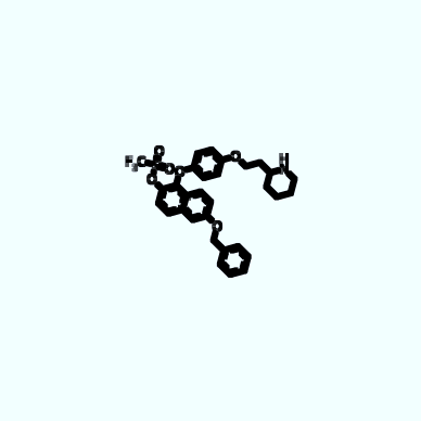 O=S(=O)(Oc1ccc2cc(OCc3ccccc3)ccc2c1Oc1ccc(OCCC2CCCCN2)cc1)C(F)(F)F